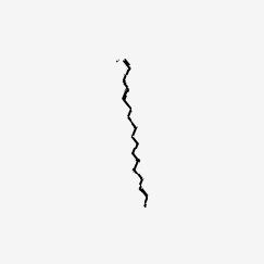 [CH2]CC/C=C/CCCCCCCCC/C=C/C